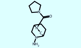 NN1CC2CCC1CN2C(=O)N1CCCC1